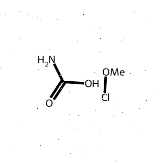 COCl.NC(=O)O